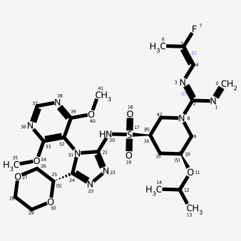 C=N/C(=N\C=C(/C)F)N1C[C@@H](OC(C)C)C[C@@H](S(=O)(=O)Nc2nnc([C@H]3COCCO3)n2-c2c(OC)ncnc2OC)C1